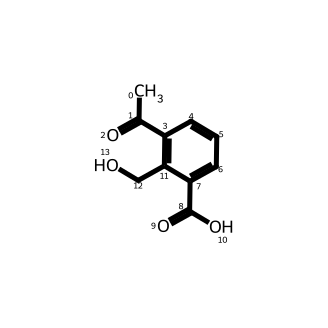 CC(=O)c1cccc(C(=O)O)c1CO